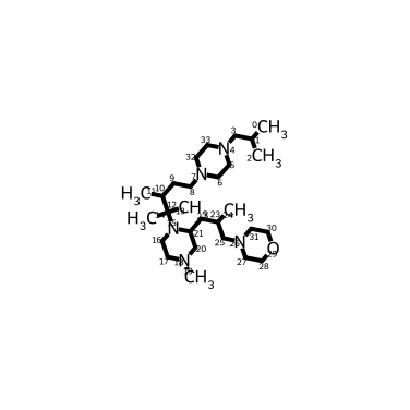 CC(C)CN1CCN(CCC(C)C(C)(C)N2CCN(C)CC2CC(C)CN2CCOCC2)CC1